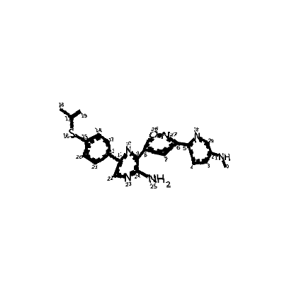 CNc1ccc(-c2cc(-c3nc(-c4ccc(SC(C)C)cc4)cnc3N)on2)nc1